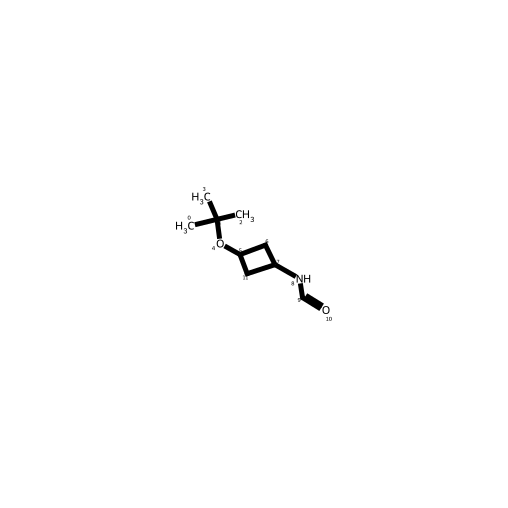 CC(C)(C)OC1CC(NC=O)C1